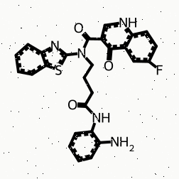 Nc1ccccc1NC(=O)CCCN(C(=O)c1c[nH]c2ccc(F)cc2c1=O)c1nc2ccccc2s1